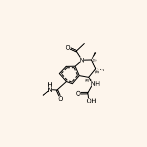 CNC(=O)c1ccc2c(c1)[C@H](NC(=O)O)[C@@H](C)[C@H](C)N2C(C)=O